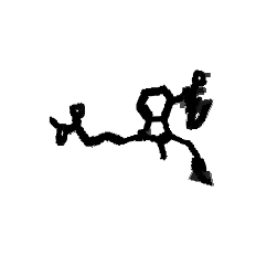 COC(=O)CCCn1c(C)c(CC#N)c2c([N+](=O)[O-])cccc21